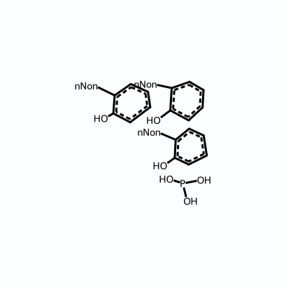 CCCCCCCCCc1ccccc1O.CCCCCCCCCc1ccccc1O.CCCCCCCCCc1ccccc1O.OP(O)O